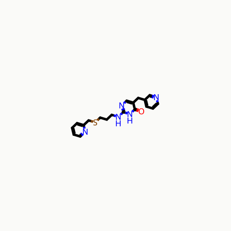 O=c1[nH]c(NCCCSCc2ccccn2)ncc1Cc1cccnc1